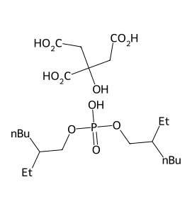 CCCCC(CC)COP(=O)(O)OCC(CC)CCCC.O=C(O)CC(O)(CC(=O)O)C(=O)O